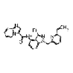 C=Cc1cccc(Cn2nc(CC)c3c(NC(=O)c4cnc5ccccn45)cccc32)n1